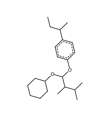 CCC(C)c1ccc(OC(OC2CCCCC2)C(C)C(C)C)cc1